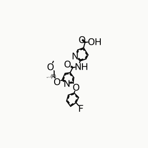 COC[C@@H](C)Oc1cc(C(=O)Nc2ccc(C(=O)O)cn2)cc(Oc2cccc(F)c2)n1